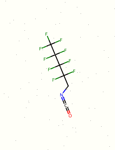 O=C=NCC(F)(F)C(F)(F)C(F)(F)C(F)(F)F